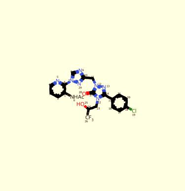 CC(=O)Nc1cccnc1-n1cnc(Cn2nc(-c3ccc(Cl)cc3)n(CC(O)C(F)(F)F)c2=O)n1